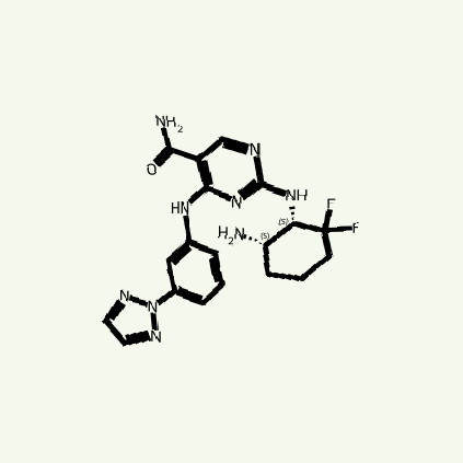 NC(=O)c1cnc(N[C@H]2[C@@H](N)CCCC2(F)F)nc1Nc1cccc(-n2nccn2)c1